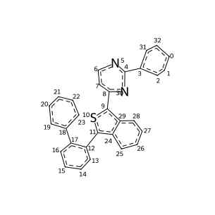 c1ccc(-c2nccc(-c3sc(-c4ccccc4-c4ccccc4)c4ccccc34)n2)cc1